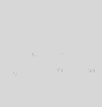 Cc1ccc2c(c1)c1c(n2CCC(=O)NC2CCNCC2)CCN(C)C1